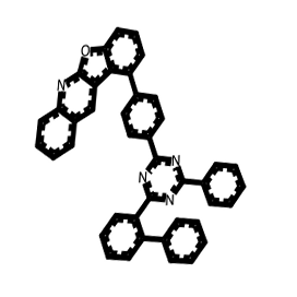 c1ccc(-c2nc(-c3ccc(-c4cccc5oc6nc7ccccc7cc6c45)cc3)nc(-c3ccccc3-c3ccccc3)n2)cc1